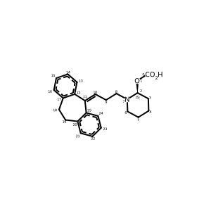 O=C(O)O[C@H]1CCCCN1CCC=C1c2ccccc2CCc2ccccc21